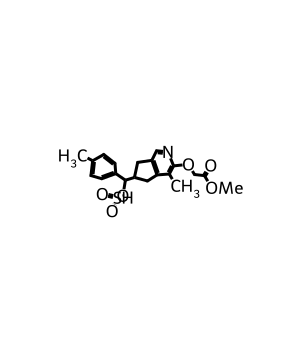 COC(=O)COc1ncc2c(c1C)CC(C(O[SH](=O)=O)c1ccc(C)cc1)C2